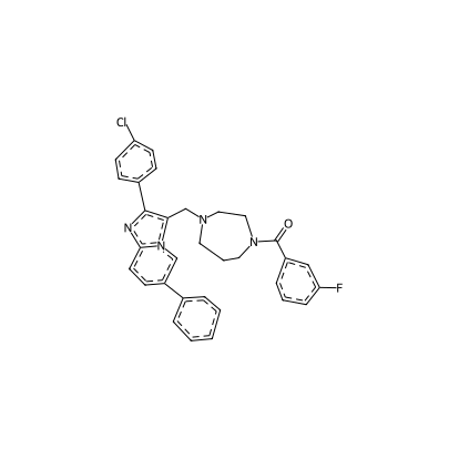 O=C(c1cccc(F)c1)N1CCCN(Cc2c(-c3ccc(Cl)cc3)nc3ccc(-c4ccccc4)cn23)CC1